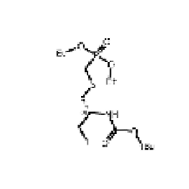 CCOP(=O)(CSC[C@@H](CI)NC(=O)OC(C)(C)C)OCC